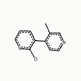 Cc1[c]nccc1-c1cccnc1Cl